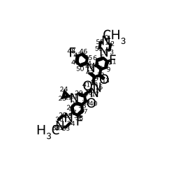 CN1CCN(c2cc3c(cc2F)c(=O)c(-c2nnc(-c4cn(C5CC5)c5cc(N6CCN(C)CC6)c(F)cc5c4=O)o2)cn3-c2ccc(F)cc2)CC1